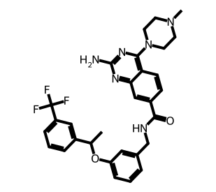 CC(Oc1cccc(CNC(=O)c2ccc3c(N4CCN(C)CC4)nc(N)nc3c2)c1)c1cccc(C(F)(F)F)c1